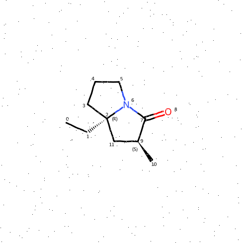 CC[C@]12CCCN1C(=O)[C@@H](C)C2